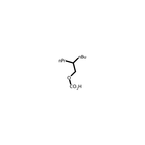 CCCCC(CCC)COC(=O)O